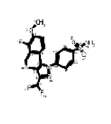 COc1ccc2c(c1F)CSc1c(C(F)F)nn(-c3ccc(S(N)(=O)=O)cc3)c1-2